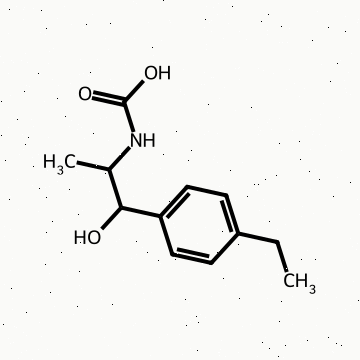 CCc1ccc(C(O)C(C)NC(=O)O)cc1